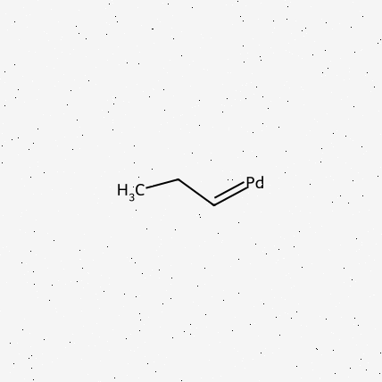 CC[CH]=[Pd]